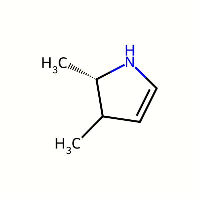 CC1C=CN[C@H]1C